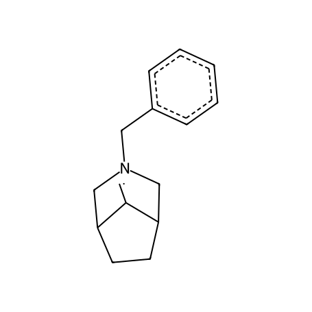 [CH2]C1C2CCC1CN(Cc1ccccc1)C2